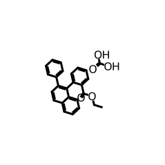 CCOC(=O)c1ccccc1-c1c(-c2ccccc2)ccc2ccccc12.O=C(O)O